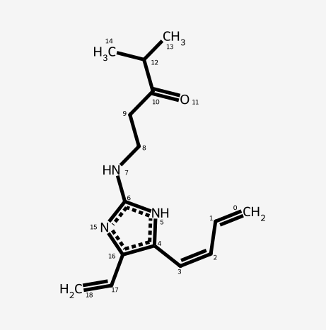 C=C/C=C\c1[nH]c(NCCC(=O)C(C)C)nc1C=C